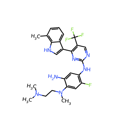 Cc1cccc2c(-c3nc(Nc4cc(N)c(N(C)CCN(C)C)cc4F)ncc3C(F)(F)F)c[nH]c12